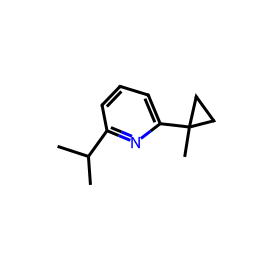 CC(C)c1cccc(C2(C)CC2)n1